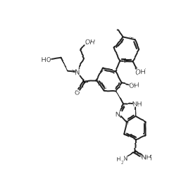 Cc1ccc(O)c(-c2cc(C(=O)N(CCO)CCO)cc(-c3nc4cc(C(=N)N)ccc4[nH]3)c2O)c1